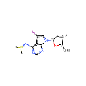 C[C@H]1C[C@H](n2cc(I)c3c(N=S(C)C)ncnc32)O[C@@H]1C=O